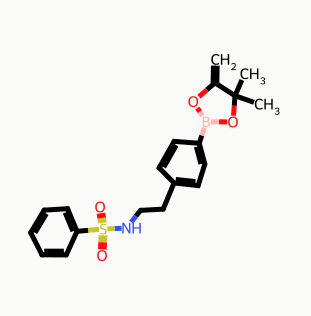 C=C1OB(c2ccc(CCNS(=O)(=O)c3ccccc3)cc2)OC1(C)C